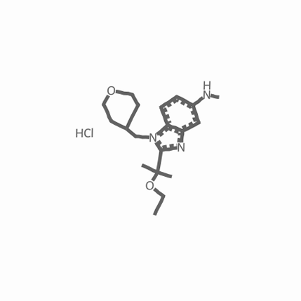 CCOC(C)(C)c1nc2cc(NC)ccc2n1CC1CCOCC1.Cl